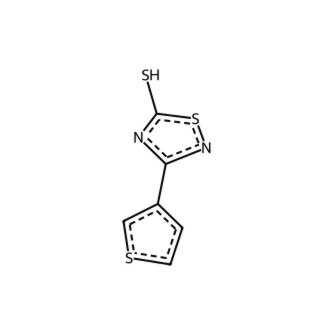 Sc1nc(-c2ccsc2)ns1